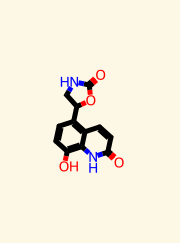 O=C1NCC(c2ccc(O)c3[nH]c(=O)ccc23)O1